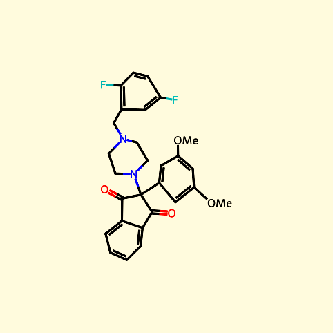 COc1cc(OC)cc(C2(N3CCN(Cc4cc(F)ccc4F)CC3)C(=O)c3ccccc3C2=O)c1